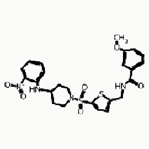 COc1cccc(C(=O)NCc2ccc(S(=O)(=O)N3CCC(Nc4ccccc4[N+](=O)[O-])CC3)s2)c1